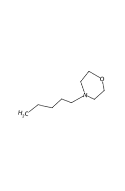 CCCCCN1CCOCC1